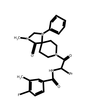 Cc1cc(C(=O)NC(C(=O)N2CCC3(CC2)C(=O)N(C)CN3c2ccccc2)C(C)C)ccc1F